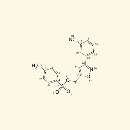 Cc1ccc(S(=O)(=O)OCc2cc(-c3cccc(C#N)c3)no2)cc1